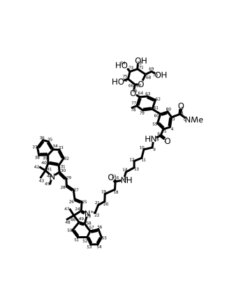 CNC(=O)c1cc(C(=O)NCCCCCCNC(=O)CCCCC[N+]2=C(/C=C/C=C/C=C3/c4ccc5ccccc5c4C(C)(C)N3C)C(C)(C)c3ccc4ccccc4c32)cc(-c2ccc(OC3OC(CO)C(O)C(O)C3O)c(C)c2)c1